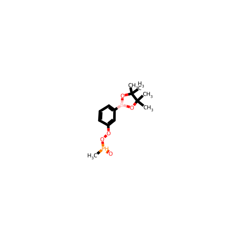 C[PH](=O)OOc1cccc(B2OC(C)(C)C(C)(C)O2)c1